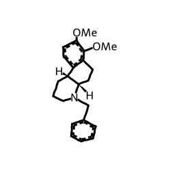 COc1ccc2c(c1OC)CC[C@H]1[C@@H]2CCCN1Cc1ccccc1